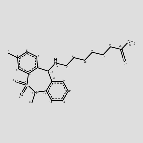 Cc1ccc2c(c1)S(=O)(=O)N(C)c1ccccc1C2NCCCCCCC(N)=O